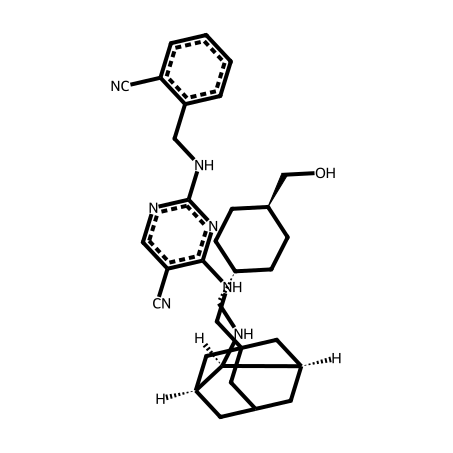 N#Cc1ccccc1CNc1ncc(C#N)c(NCC23CC4C[C@H](C2)[C@H](NC[C@H]2CC[C@H](CO)CC2)[C@@H](C4)C3)n1